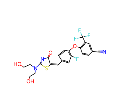 N#Cc1ccc(Oc2ccc(/C=C3/SC(N(CCO)CCO)=NC3=O)cc2F)c(C(F)(F)F)c1